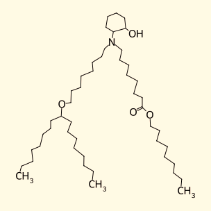 CCCCCCCCCOC(=O)CCCCCCCN(CCCCCCCCOC(CCCCCCCC)CCCCCCCC)C1CCCCC1O